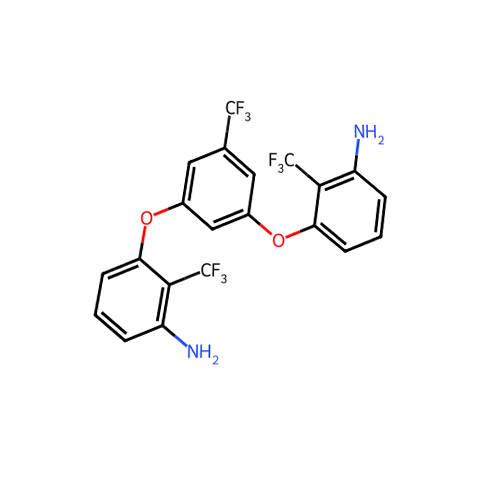 Nc1cccc(Oc2cc(Oc3cccc(N)c3C(F)(F)F)cc(C(F)(F)F)c2)c1C(F)(F)F